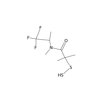 CC(N(C)C(=O)C(C)(C)SS)C(F)(F)F